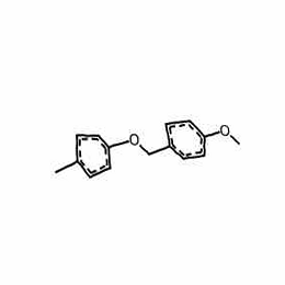 COc1ccc(COc2ccc(C)cc2)cc1